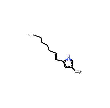 CCCCCCCCCCCC/C=C/c1cc(C(=O)O)c[nH]1